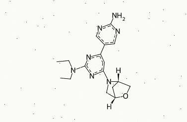 CCN(CC)c1nc(-c2cnc(N)nc2)cc(N2C[C@@H]3C[C@H]2CO3)n1